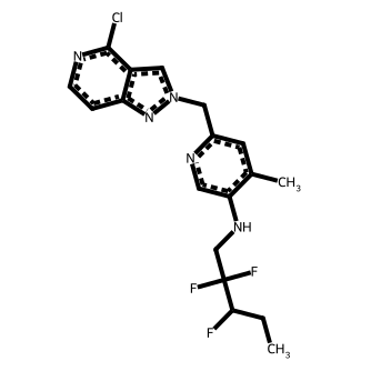 CCC(F)C(F)(F)CNc1cnc(Cn2cc3c(Cl)nccc3n2)cc1C